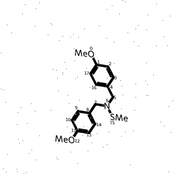 COc1ccc(CN(Cc2ccc(OC)cc2)SC)cc1